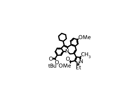 CCn1nc(C)c(C2=Cc3cc(OC)ccc3-c3c(C4CCCCC4)c4ccc(C(=O)OC(C)(C)C)cc4n3C2)c1C(=O)OC